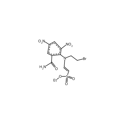 CCOS(=O)(=O)C=CN(CCBr)c1c(C(N)=O)cc([N+](=O)[O-])cc1[N+](=O)[O-]